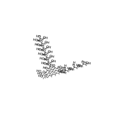 CCCCCCCCCCCCCCCCCC(=O)O.CCCCCCCCCCCCCCCCCC(=O)O.CCCCCCCCCCCCCCCCCC(=O)O.OCC(O)CO.OCC(O)CO.OCC(O)CO.OCC(O)CO.OCC(O)CO.OCC(O)CO.OCC(O)CO.OCC(O)CO.OCC(O)CO.OCC(O)CO